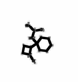 CC(C)(C)[S+]([O-])NC1(C2CC[S+]2[O-])CCCCC1